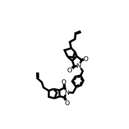 C=CCCC1CC2CC1C1C(=O)N(Cc3ccc(CN4C(=O)C5C6CC(CCC=C)C(C6)C5C4=O)cc3)C(=O)C21